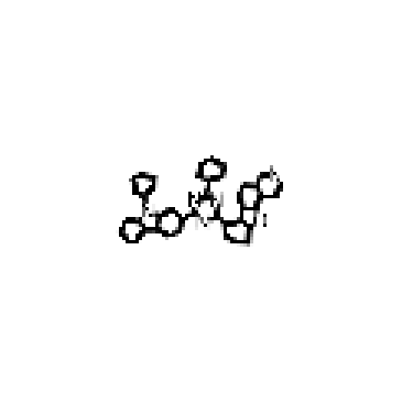 c1ccc(-c2nc(-c3ccc4c5ccccc5n(-c5ccccc5)c4c3)nc(-c3cccc4oc5c6ccncc6ccc5c34)n2)cc1